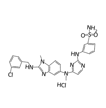 CN(c1ccc2c(c1)nc(NCc1cccc(Cl)c1)n2C)c1ccnc(Nc2cccc(S(N)(=O)=O)c2)n1.Cl